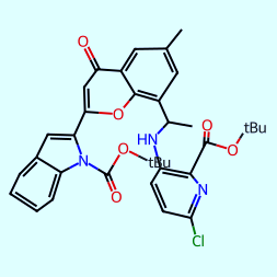 Cc1cc(C(C)Nc2ccc(Cl)nc2C(=O)OC(C)(C)C)c2oc(-c3cc4ccccc4n3C(=O)OC(C)(C)C)cc(=O)c2c1